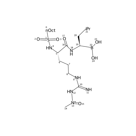 CCCCCCCCS(=O)(=O)N[C@@H](CCCNC(=N)N[N+](C)=O)C(=O)N[C@@H](CC(C)C)B(O)O